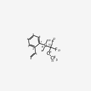 C=Cc1ccccc1[Si](C)(C)C(F)(F)OC(F)(F)F